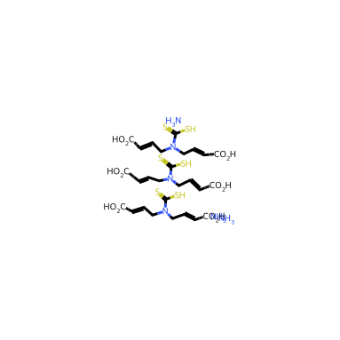 N.N.N.O=C(O)C=CCN(CC=CC(=O)O)C(=S)S.O=C(O)C=CCN(CC=CC(=O)O)C(=S)S.O=C(O)C=CCN(CC=CC(=O)O)C(=S)S